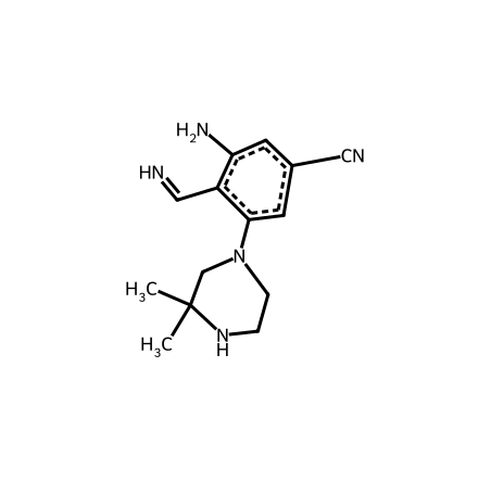 CC1(C)CN(c2cc(C#N)cc(N)c2C=N)CCN1